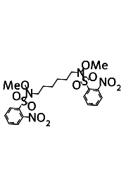 CON(CCCCCCN(OC)S(=O)(=O)c1ccccc1[N+](=O)[O-])S(=O)(=O)c1ccccc1[N+](=O)[O-]